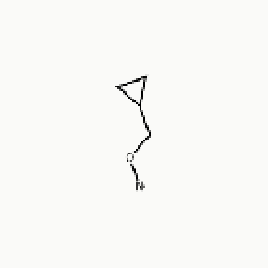 [N]OCC1CC1